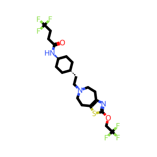 O=C(CCC(F)(F)F)N[C@H]1CC[C@H](CCN2CCc3nc(OCC(F)(F)F)sc3CC2)CC1